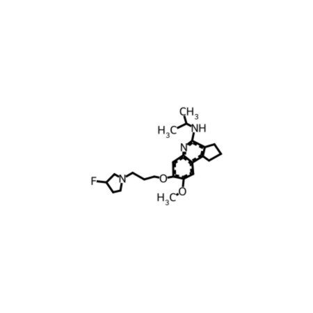 COc1cc2c3c(c(NC(C)C)nc2cc1OCCCN1CCC(F)C1)CCC3